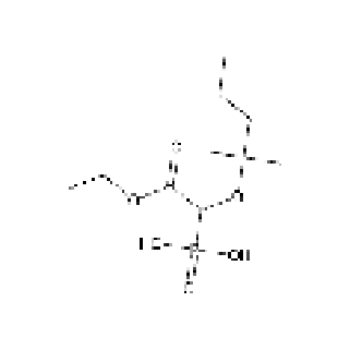 CCCC(C)(C)OC(C(=O)OCC)P(=O)(O)O